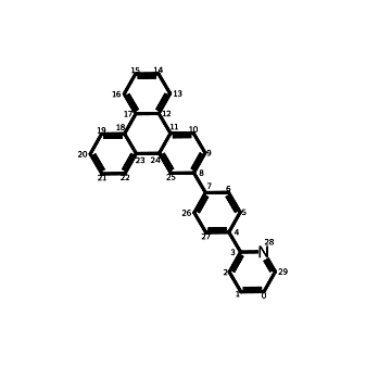 c1ccc(-c2ccc(-c3ccc4c5ccccc5c5ccccc5c4c3)cc2)nc1